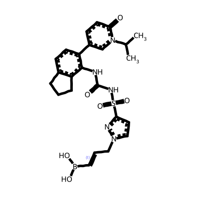 CC(C)n1cc(-c2ccc3c(c2NC(=O)NS(=O)(=O)c2ccn(C/C=C/B(O)O)n2)CCC3)ccc1=O